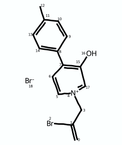 C=C(Br)C[n+]1ccc(-c2ccc(C)cc2)c(O)c1.[Br-]